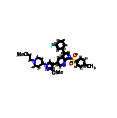 COCCN1CCC(n2cc(-c3cnc4c(c3)c(-c3cccc(F)c3)cn4S(=O)(=O)c3ccc(C)cc3)c(OC)n2)CC1